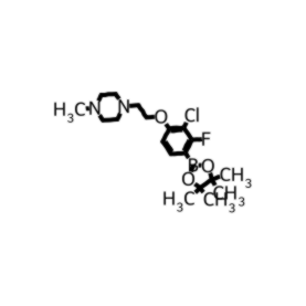 CN1CCN(CCOc2ccc(B3OC(C)(C)C(C)(C)O3)c(F)c2Cl)CC1